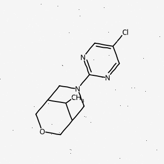 CC1C2COCC1CN(c1ncc(Cl)cn1)C2